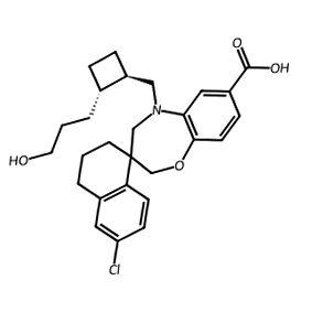 O=C(O)c1ccc2c(c1)N(C[C@@H]1CC[C@H]1CCCO)CC1(CCCc3cc(Cl)ccc31)CO2